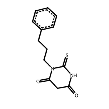 O=C1CC(=O)N(CCCc2ccccc2)C(=S)N1